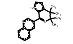 CC1(C)N=C(c2cnc3ccccc3c2)c2[nH]ccc2C1(C)C